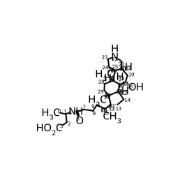 CC(CC(=O)O)NC(=O)CCC[C@@H](C)[C@H]1CC[C@H]2[C@@H]3[C@@H](O)C[C@@H]4CNCC[C@]4(C)[C@H]3CC[C@]12C